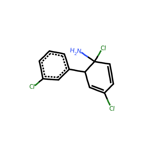 NC1(Cl)C=CC(Cl)=CC1c1cccc(Cl)c1